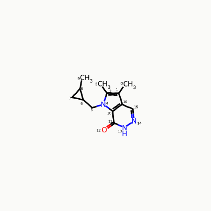 Cc1c(C)n(CC2CC2C)c2c(=O)[nH]ncc12